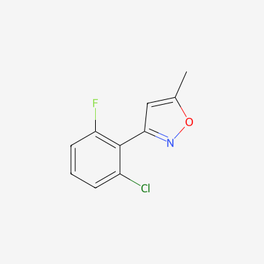 Cc1cc(-c2c(F)cccc2Cl)no1